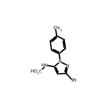 Cc1ccc(-n2nc(C(C)C)cc2NC(=O)O)cc1